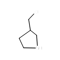 CCC1[CH]CNC1